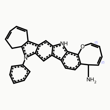 NC1/C=C\C=C/Oc2c1ccc1c2[nH]c2cc3c4c(n(-c5ccccc5)c3cc21)CC=CC=C4